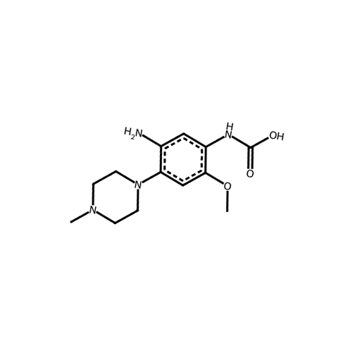 COc1cc(N2CCN(C)CC2)c(N)cc1NC(=O)O